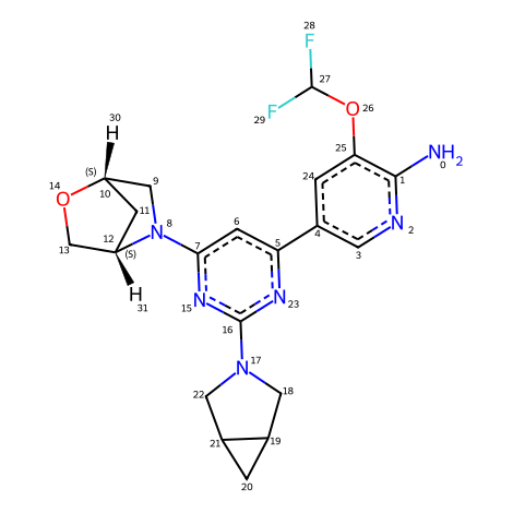 Nc1ncc(-c2cc(N3C[C@@H]4C[C@H]3CO4)nc(N3CC4CC4C3)n2)cc1OC(F)F